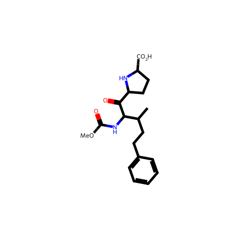 COC(=O)NC(C(=O)C1CCC(C(=O)O)N1)C(C)CCc1ccccc1